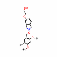 CCCCOc1cc(OCCCC)c(C(C)C)cc1CON1Cc2ccc(OCCO)cc2C1